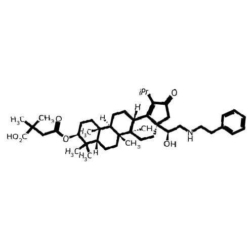 CC(C)C1=C2[C@H]3CC[C@@H]4[C@@]5(C)CC[C@H](OC(=O)CC(C)(C)C(=O)O)C(C)(C)[C@H]5CC[C@@]4(C)[C@]3(C)CC[C@@]2([C@H](O)CNCCc2ccccc2)CC1=O